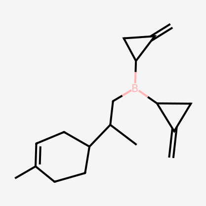 C=C1CC1B(CC(C)C1CC=C(C)CC1)C1CC1=C